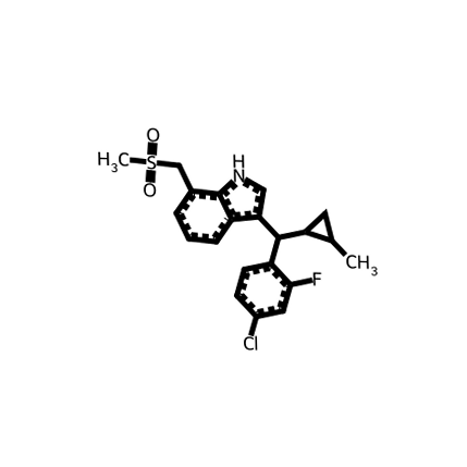 CC1CC1C(c1ccc(Cl)cc1F)c1c[nH]c2c(CS(C)(=O)=O)cccc12